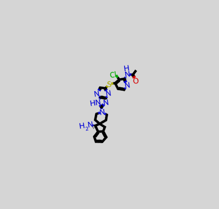 CC(=O)Nc1nccc(Sc2cnc3[nH]c(N4CCC5(CC4)Cc4ccccc4[C@H]5N)nc3n2)c1Cl